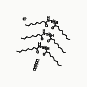 CCCCCCCC(=O)[NH][Ti+2][NH]C(=O)CCCCCCC.CCCCCCCC(=O)[NH][Ti+2][NH]C(=O)CCCCCCC.CCCCCCCC(=O)[NH][Ti+2][NH]C(=O)CCCCCCC.[Cl-].[Cl-].[Cl-].[Cl-].[Cl-].[Cl-]